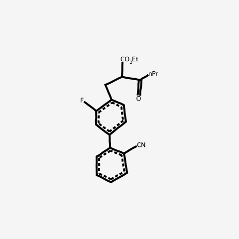 CCCC(=O)C(Cc1ccc(-c2ccccc2C#N)cc1F)C(=O)OCC